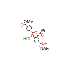 CNCC(O)c1ccc(OC(=O)c2ccc(C(=O)OC)cc2)c(OC(=O)C(C)C)c1.Cl